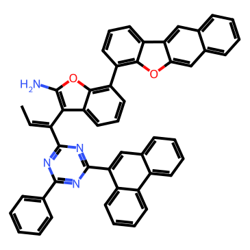 C/C=C(/c1nc(-c2ccccc2)nc(-c2cc3ccccc3c3ccccc23)n1)c1c(N)oc2c(-c3cccc4c3oc3cc5ccccc5cc34)cccc12